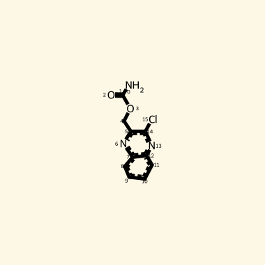 NC(=O)OCc1nc2ccccc2nc1Cl